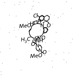 COC(=O)N1CCN(C(=O)NS2(=O)=NC(=O)c3ccc4c(c3)N(C[C@@H]3CC[C@H]3[C@@H](OC)/C=C/C[C@H](C)C2)C[C@@]2(CCCc3cc(Cl)ccc32)CO4)CC1